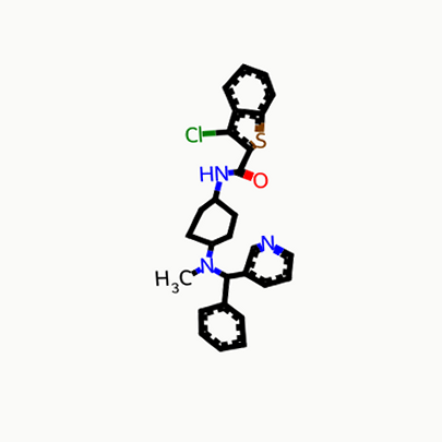 CN(C1CCC(NC(=O)c2sc3ccccc3c2Cl)CC1)C(c1ccccc1)c1cccnc1